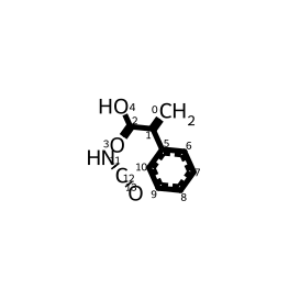 C=C(C(=O)O)c1ccccc1.N=C=O